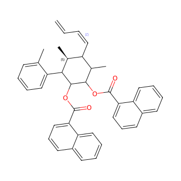 C=C/C=C\C1C(C)C(OC(=O)c2cccc3ccccc23)C(OC(=O)c2cccc3ccccc23)C(c2ccccc2C)[C@H]1C